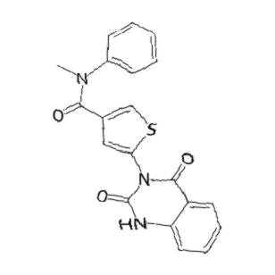 CN(C(=O)c1csc(-n2c(=O)[nH]c3ccccc3c2=O)c1)c1ccccc1